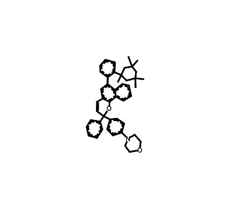 CC1(C)CC(C)(C)CC(C)(c2ccccc2-c2cc3c(c4ccccc24)OC(c2ccccc2)(c2ccc(N4CCOCC4)cc2)C=C3)C1